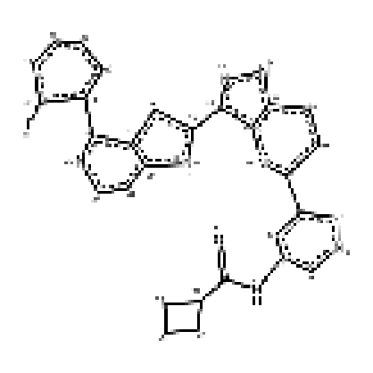 O=C(Nc1cncc(-c2ccc3[nH]nc(-c4cc5c(-c6ccccc6F)nccc5[nH]4)c3n2)c1)C1CCC1